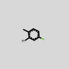 Cc1ccc(F)cc1C(C)C